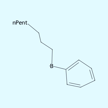 CCCCCCCC[B]c1ccccc1